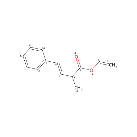 C=COC(=O)C(C)C=Cc1ccccc1